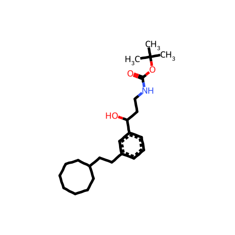 CC(C)(C)OC(=O)NCCC(O)c1cccc(CCC2CCCCCCC2)c1